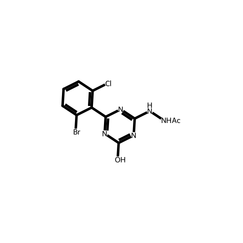 CC(=O)NNc1nc(O)nc(-c2c(Cl)cccc2Br)n1